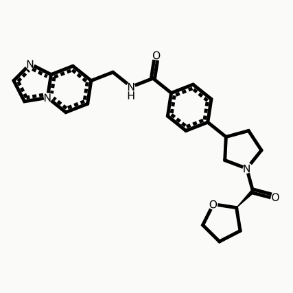 O=C(NCc1ccn2ccnc2c1)c1ccc(C2CCN(C(=O)[C@H]3CCCO3)C2)cc1